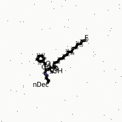 CCCCCCCCCCCC/C=C/[C@@H](OC(=O)c1ccccc1)[C@H](CO)NC(=O)CCCCCCCCCCCCCCF